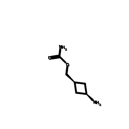 NC(=O)OC[C@H]1C[C@@H](N)C1